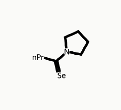 CCCC(=[Se])N1CCCC1